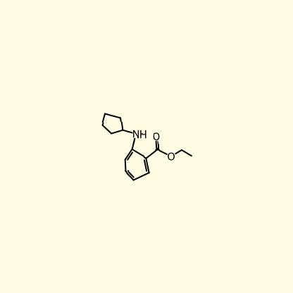 CCOC(=O)c1ccccc1NC1CCCC1